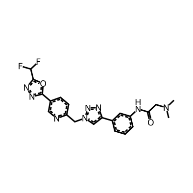 CN(C)CC(=O)Nc1cccc(-c2cn(Cc3ccc(-c4nnc(C(F)F)o4)cn3)nn2)c1